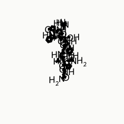 CC(C)C[C@H](NC(=O)CNC(=O)[C@H](Cc1ccc(O)cc1)NC(=O)[C@H](CO)NC(=O)[C@H](Cc1c[nH]c2ccccc12)NC(=O)[C@H](Cc1c[nH]cn1)NC(=O)[C@@H]1CCC(=O)N1)C(=O)N[C@@H](CCC(N)=O)C(=O)N1CCC[C@H]1C(=O)NCC(N)=O